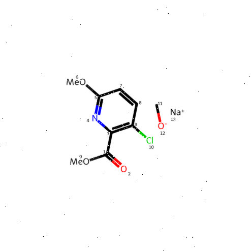 COC(=O)c1nc(OC)ccc1Cl.C[O-].[Na+]